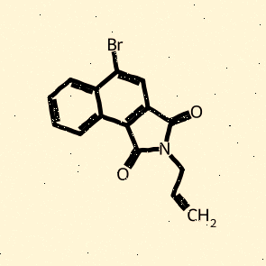 C=CCN1C(=O)c2cc(Br)c3ccccc3c2C1=O